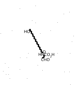 C=C(O)CCCCCCCCCCCCCCCCC(=O)NC(CCC=O)C(=O)O